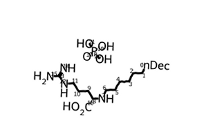 CCCCCCCCCCCCCCCCN[C@@H](CCCNC(=N)N)C(=O)O.O=P(O)(O)O